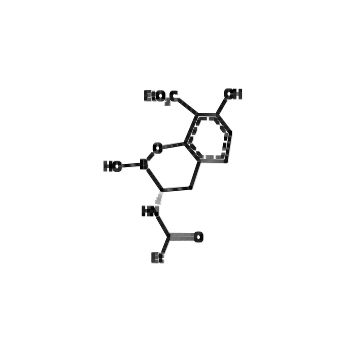 CCOC(=O)c1c(O)ccc2c1OB(O)[C@@H](NC(=O)CC)C2